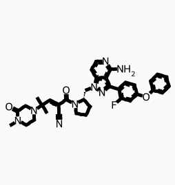 CN1CCN(C(C)(C)C=C(C#N)C(=O)N2CCC[C@H]2Cn2nc(-c3ccc(Oc4ccccc4)cc3F)c3c(N)nccc32)CC1=O